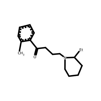 CCC1CCCCN1CCCC(=O)c1ccccc1C